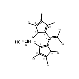 CC1=C(C)C(C)[C]([Zr]([C]2=C(C)C(C)=C(C)C2C)=[C](C)C)=C1C.Cl.Cl